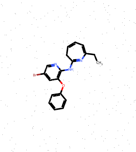 CCC1=CC=CCC(Nc2ncc(Br)cc2Oc2ccccc2)=N1